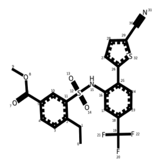 CCc1ccc(C(=O)OC)cc1S(=O)(=O)Nc1cc(C(F)(F)F)ccc1-c1ccc(C#N)s1